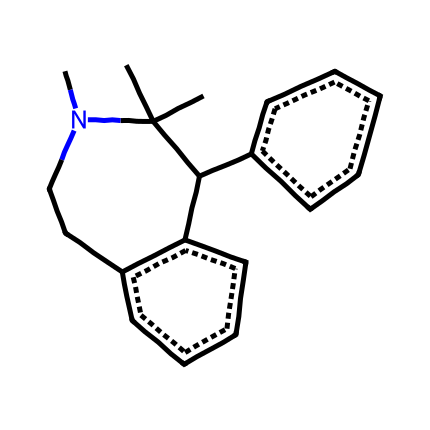 CN1CCc2ccccc2C(c2ccccc2)C1(C)C